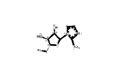 O=[N+]([O-])c1nccn1C1O[C@H](CF)[C@@H](O)[C@H]1O